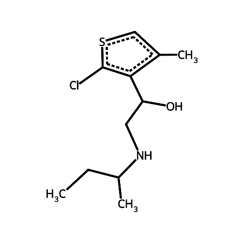 CCC(C)NCC(O)c1c(C)csc1Cl